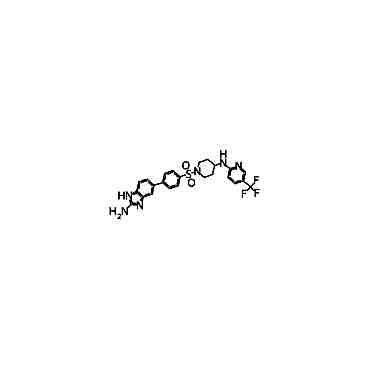 Nc1nc2cc(-c3ccc(S(=O)(=O)N4CCC(Nc5ccc(C(F)(F)F)cn5)CC4)cc3)ccc2[nH]1